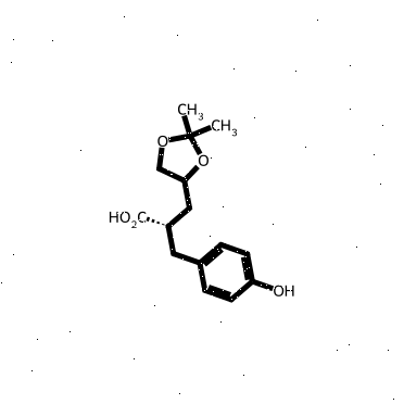 CC1(C)OCC(C[C@H](Cc2ccc(O)cc2)C(=O)O)O1